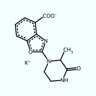 CC1C(=O)NCCN1c1nc2c(C(=O)[O-])cccc2o1.[K+]